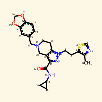 Cc1ncsc1CCn1nc(C(=O)NC2CC2)c2c1CCN(Cc1ccc3c(c1)OCO3)C2